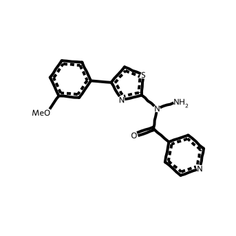 COc1cccc(-c2csc(N(N)C(=O)c3ccncc3)n2)c1